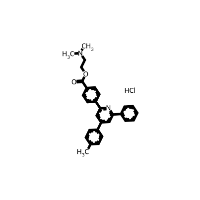 Cc1ccc(-c2cc(-c3ccccc3)nc(-c3ccc(C(=O)OCCN(C)C)cc3)c2)cc1.Cl